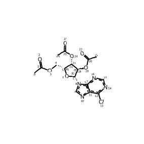 CC(=O)OC[C@H]1O[C@@H](n2cnc3c(Cl)ncnc32)[C@H](OC(C)=O)[C@H]1OC(C)=O